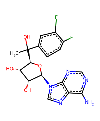 CC(O)(c1ccc(F)c(F)c1)[C@H]1O[C@@H](n2cnc3c(N)ncnc32)[C@H](O)[C@@H]1O